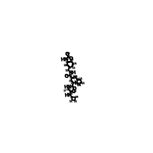 C[C@H](NC(=O)c1cc(C(=O)NCc2ccc3oc(=O)[nH]c3c2)nc2ccnn12)C(=O)NC1CCC1